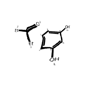 CCC(=O)CC.Oc1cccc(O)c1